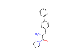 N[C@H](Cc1ccc(-c2ccccc2)cc1)C(=O)N1CCCC1